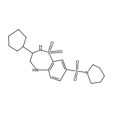 O=S1(=O)NC(C2CCCCC2)CNc2ccc(S(=O)(=O)N3CCCCC3)cc21